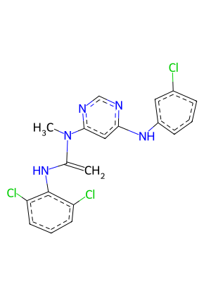 C=C(Nc1c(Cl)cccc1Cl)N(C)c1cc(Nc2cccc(Cl)c2)ncn1